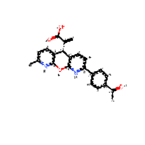 C=C(C(=O)O)[C@H]1c2ccc(C)nc2Oc2nc(-c3ccc(C(C)=O)cc3)ccc21